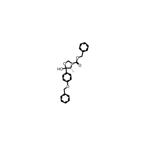 C[C@H]1N(C(=O)OCc2ccccc2)COC1(O)c1ccc(OCc2ccccc2)cc1